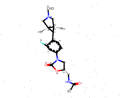 CCC(=O)NC[C@H]1CN(c2ccc(C3[C@H]4CN(C=O)C[C@@H]34)c(F)c2)C(=O)O1